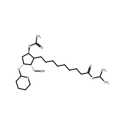 CC(=O)O[C@@H]1C[C@@H](OC2CCCCO2)[C@@H](CO)C1CCCCCCCCC(=O)OC(C)C